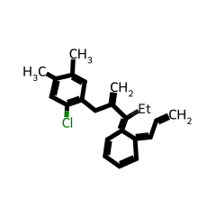 C=C/C=c1/cccc/c1=C(/CC)C(=C)Cc1cc(C)c(C)cc1Cl